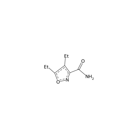 CCc1onc(C(N)=O)c1CC